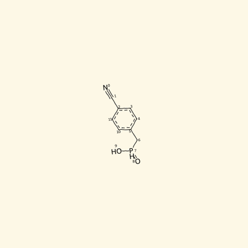 N#Cc1ccc(C[PH](=O)O)cc1